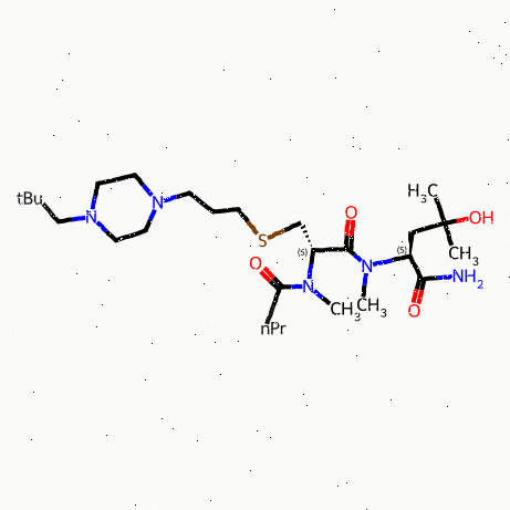 CCCC(=O)N(C)[C@H](CSCCCN1CCN(CC(C)(C)C)CC1)C(=O)N(C)[C@@H](CC(C)(C)O)C(N)=O